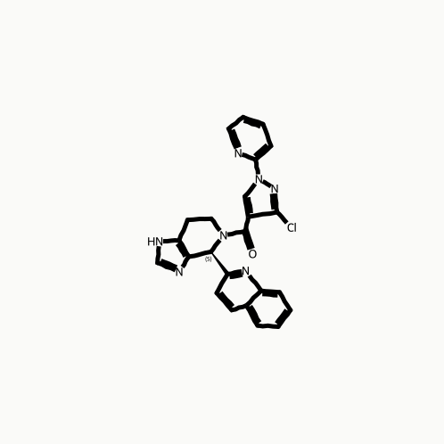 O=C(c1cn(-c2ccccn2)nc1Cl)N1CCc2[nH]cnc2[C@@H]1c1ccc2ccccc2n1